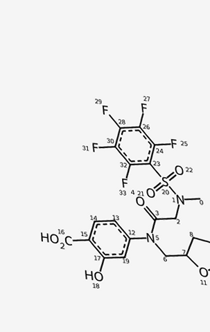 CN(CC(=O)N(CC1CCCO1)c1ccc(C(=O)O)c(O)c1)S(=O)(=O)c1c(F)c(F)c(F)c(F)c1F